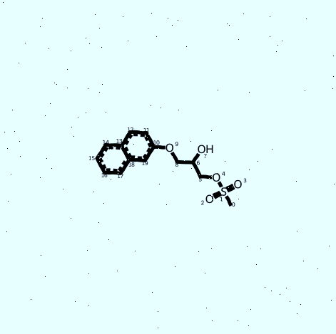 CS(=O)(=O)OCC(O)COc1ccc2ccccc2c1